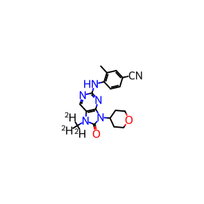 [2H]C([2H])([2H])n1c(=O)n(C2CCOCC2)c2nc(Nc3ccc(C#N)cc3C)ncc21